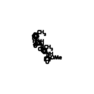 CO[C@@H]1COCC[C@@H]1N[C@@H]1CC[C@](C)(C(=O)N[C@@H]2CN(c3cc(C)ccn3)[C@@H]3COC32)C1